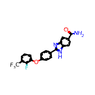 NC(=O)c1ccc2[nH]c(-c3ccc(Oc4cccc(C(F)(F)F)c4F)cc3)nc2c1